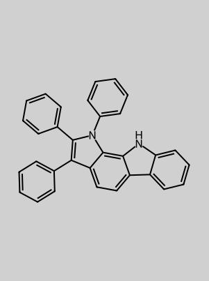 c1ccc(-c2c(-c3ccccc3)n(-c3ccccc3)c3c2ccc2c4ccccc4[nH]c23)cc1